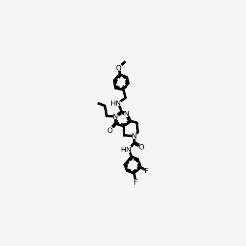 CCCn1c(NCc2ccc(OC)cc2)nc2c(c1=O)CN(C(=O)Nc1ccc(F)c(F)c1)CC2